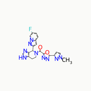 Cn1ccc(-c2nnc(C(=O)N3CCc4[nH]cnc4C3c3cc4ccc(F)cn4n3)o2)n1